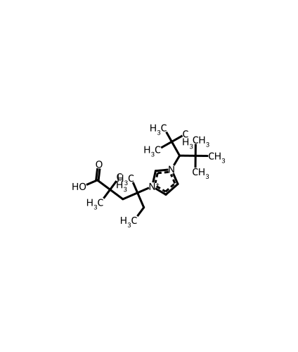 CCC(C)(CC(C)(C)C(=O)O)[n+]1ccn(C(C(C)(C)C)C(C)(C)C)c1